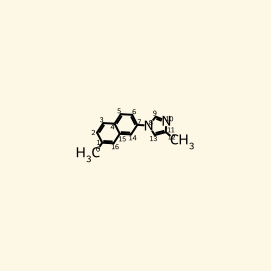 Cc1ccc2ccc(-n3cnc(C)c3)cc2c1